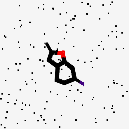 [CH2]c1cc2ccc(I)cc2o1